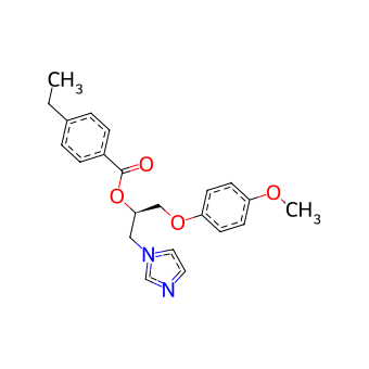 CCc1ccc(C(=O)O[C@@H](COc2ccc(OC)cc2)Cn2ccnc2)cc1